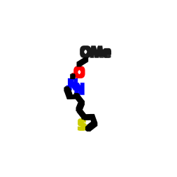 COCCOCn1ccc(/C=C/c2cccs2)n1